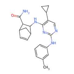 Cc1cccc(Nc2ncc(C3CC3)c(NC3C4C=CC(C4)C3C(N)=O)n2)c1